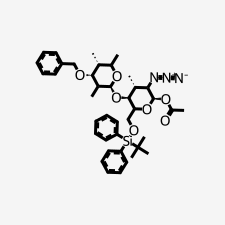 CC(=O)O[C@H]1OC(CO[Si](c2ccccc2)(c2ccccc2)C(C)(C)C)[C@@H](O[C@@H]2OC(C)[C@@H](C)[C@@H](OCc3ccccc3)C2C)[C@H](C)C1N=[N+]=[N-]